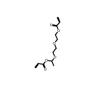 C=CC(=O)OCCOCCOC(C)OC(=O)C=C